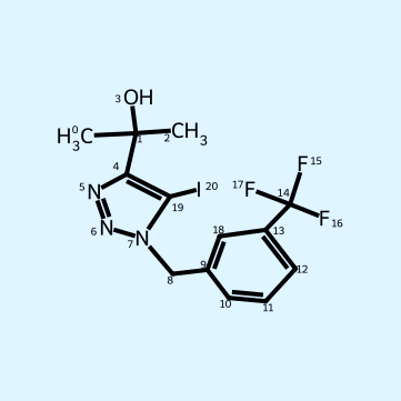 CC(C)(O)c1nnn(Cc2cccc(C(F)(F)F)c2)c1I